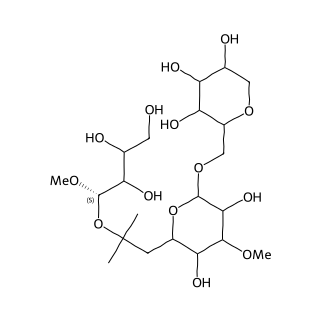 COC1C(O)C(CC(C)(C)O[C@H](OC)C(O)C(O)CO)OC(OCC2OCC(O)C(O)C2O)C1O